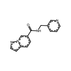 O=C(NCc1cccnc1)c1ccc2ccnn2c1